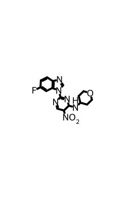 O=[N+]([O-])C1C=NC(n2cnc3ccc(F)cc32)=NC1NC1CCOCC1